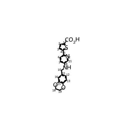 O=C(O)c1ccc(-c2ccc(NCc3ccc4c(c3)OCCO4)cn2)s1